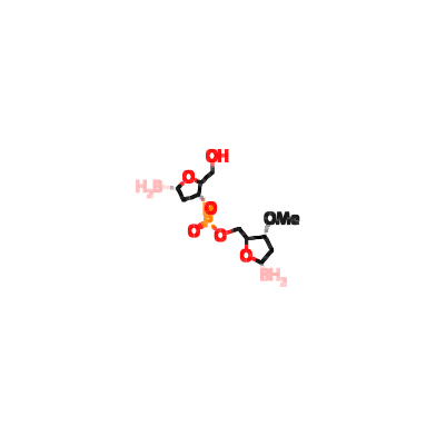 B[C@H]1C[C@@H](OC)C(CO[PH](=O)O[C@@H]2C[C@H](B)OC2CO)O1